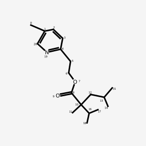 Cc1ccc(CCOC(=O)C(C)(CC(C)C)C(C)C)nc1